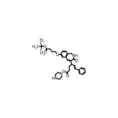 CC(C)(C)OC(=O)CCCOc1ccc2c(c1)C=C(C(C=Cc1ccccc1)CCC(=O)ON1CCNCC1)C(=O)NC2